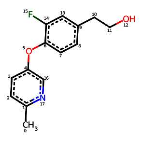 Cc1ccc(Oc2ccc(CCO)cc2F)cn1